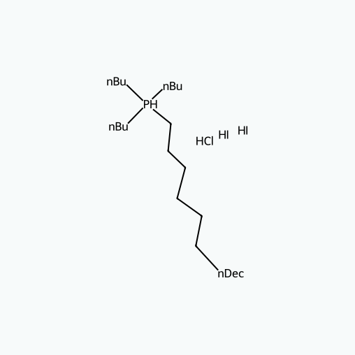 CCCCCCCCCCCCCCCC[PH](CCCC)(CCCC)CCCC.Cl.I.I